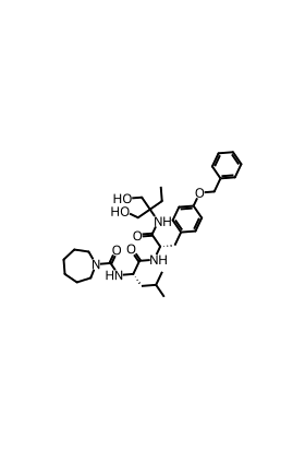 CCC(CO)(CO)NC(=O)[C@H](Cc1ccc(OCc2ccccc2)cc1)NC(=O)[C@H](CC(C)C)NC(=O)N1CCCCCC1